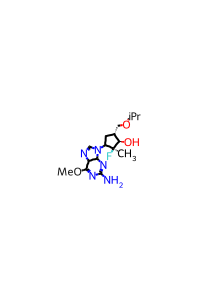 COC1=NC(N)=NC2C1N=CN2C1C[C@H](COC(C)C)[C@@H](O)[C@@]1(C)F